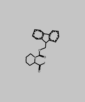 O=C(F)C1CCCCN1C(=O)OCC1c2ccccc2-c2ccccc21